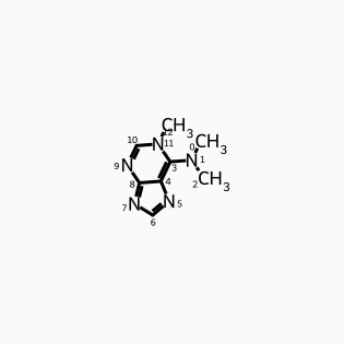 CN(C)c1c2ncnc-2ncn1C